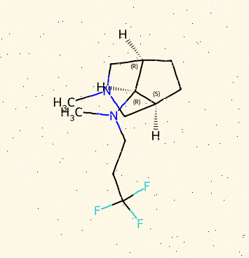 CN1C[C@H]2CC[C@@H](C1)[C@H]2N(C)CCC(F)(F)F